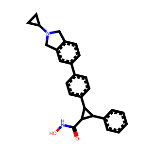 O=C(NO)C1C(c2ccccc2)C1c1ccc(-c2ccc3c(c2)CN(C2CC2)C3)cc1